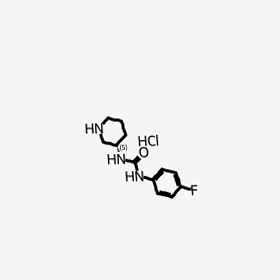 Cl.O=C(Nc1ccc(F)cc1)N[C@H]1CCCNC1